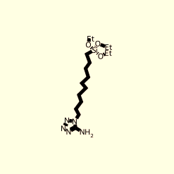 CCO[Si](CCCCCCCCCCn1nnnc1N)(OCC)OCC